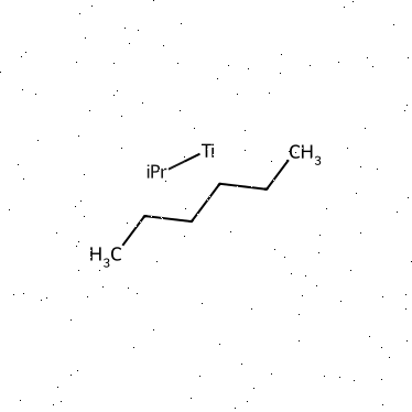 CCCCCC.C[CH](C)[Ti]